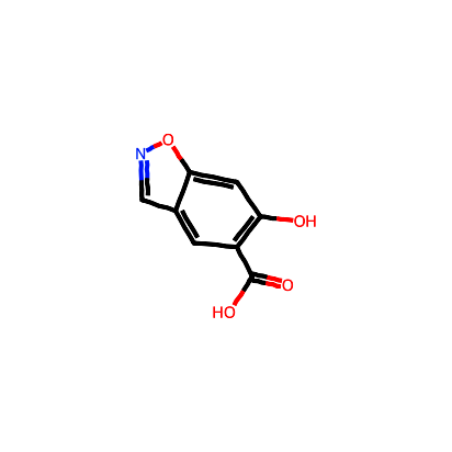 O=C(O)c1cc2cnoc2cc1O